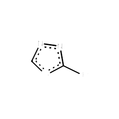 CC(C)c1nn[c]o1